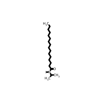 CCCCCCCCCCCCCCCC(=O)N(I)C(C)C